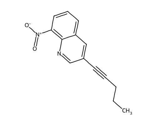 CCCC#Cc1cnc2c([N+](=O)[O-])cccc2c1